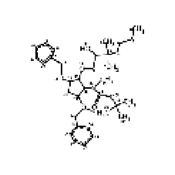 CCCCC(C)(C)C(O)COC1C(OCc2ccccc2)CC(OCc2ccccc2)C1N(C)C(=O)OC(C)(C)C